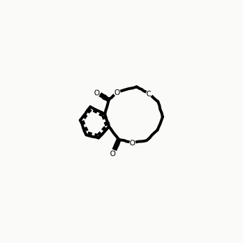 O=C1OCCCCCCOC(=O)c2ccccc21